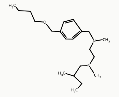 CCCCOCc1ccc(CN(C)CCN(C)CC(C)CC)cc1